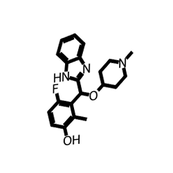 Cc1c(O)ccc(F)c1C(OC1CCN(C)CC1)c1nc2ccccc2[nH]1